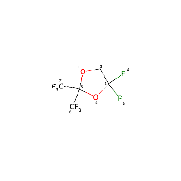 FC1(F)COC(C(F)(F)F)(C(F)(F)F)O1